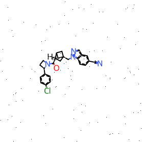 N#Cc1ccc2c(cnn2CC23CC(C2)[C@@H](C(=O)N2CCC2c2ccc(Cl)cc2)C3)c1